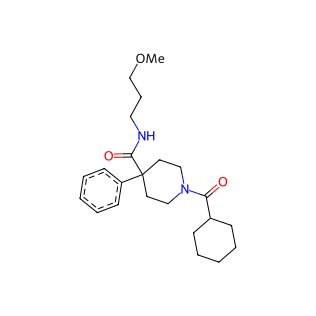 COCCCNC(=O)C1(c2ccccc2)CCN(C(=O)C2CCCCC2)CC1